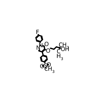 CC(C)(O)CCCOc1c(-c2ccc(S(C)(=O)=O)cc2)cnn(-c2ccc(F)cc2)c1=O